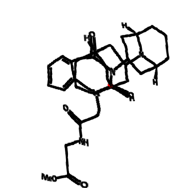 COC(=O)CNC(=O)Cn1c(=O)n(C2C[C@H]3CCC[C@@H](C2)N3C2C[C@H]3CCC[C@@H](C2)C3)c(=O)c2ccccc21